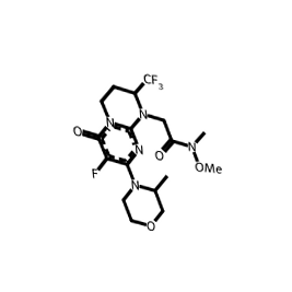 CON(C)C(=O)CN1c2nc(N3CCOCC3C)c(F)c(=O)n2CCC1C(F)(F)F